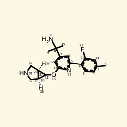 Cc1ccc(-c2cc(C(C)(C)N)cc(OC3[C@H]4CNC[C@@H]34)n2)c(F)c1